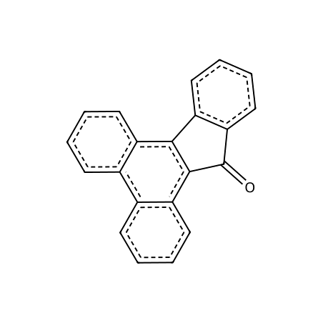 O=C1c2ccccc2-c2c1c1ccccc1c1ccccc21